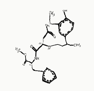 COC(=O)[C@H](Cc1ccccc1)NC(=O)[C@H](CC(=O)O)NCCC(C)c1ccc(O)c(OC)c1